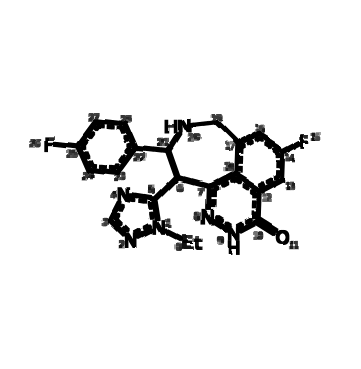 CCn1ncnc1C1c2n[nH]c(=O)c3cc(F)cc(c23)CNC1c1ccc(F)cc1